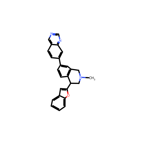 CN1Cc2cc(-c3ccc4cncnc4c3)ccc2C(c2cc3ccccc3o2)C1